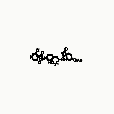 COC1CCC2(CC1)C(=O)C=C2N[C@@H](Cc1ccc(NC(=O)c2c(Cl)cncc2Cl)cc1)C(=O)O